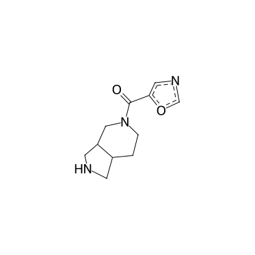 O=C(c1cnco1)N1CCC2CNCC2C1